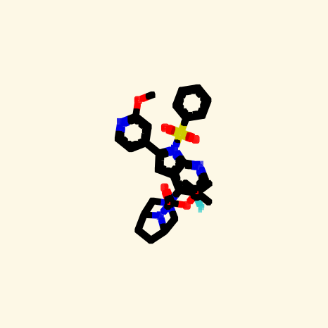 COc1cc(-c2cc3c(N4CC5CCC(C4)N5C(=O)OC(C)(C)C)c(F)cnc3n2S(=O)(=O)c2ccccc2)ccn1